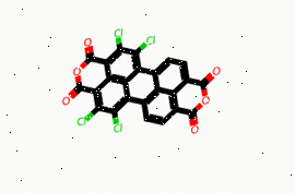 O=C1OC(=O)c2ccc3c4c(Cl)c(Cl)c5c6c(c(Cl)c(Cl)c(c7ccc1c2c73)c64)C(=O)OC5=O